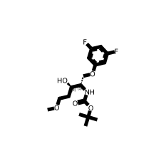 COCC[C@@H](O)[C@H](COc1cc(F)cc(F)c1)NC(=O)OC(C)(C)C